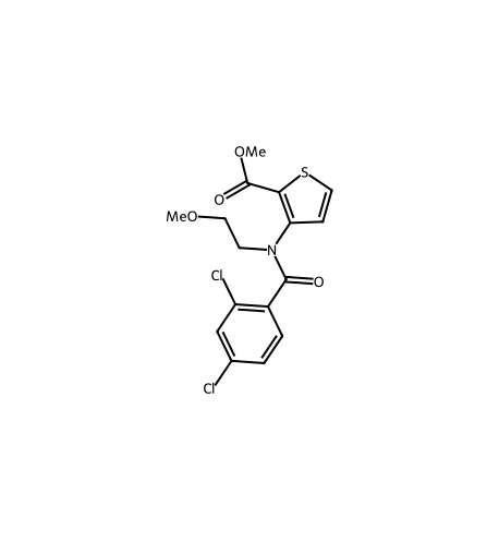 COCCN(C(=O)c1ccc(Cl)cc1Cl)c1ccsc1C(=O)OC